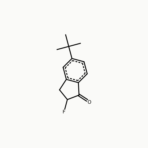 CC(C)(C)c1ccc2c(c1)CC(F)C2=O